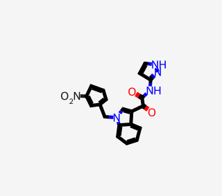 O=C(Nc1cc[nH]n1)C(=O)c1cn(Cc2cccc([N+](=O)[O-])c2)c2ccccc12